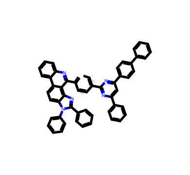 C=C(/C=C\C(=C/C)c1nc(-c2ccccc2)cc(-c2ccc(-c3ccccc3)cc2)n1)c1nc2ccccc2c2ccc3c(nc(-c4ccccc4)n3-c3ccccc3)c12